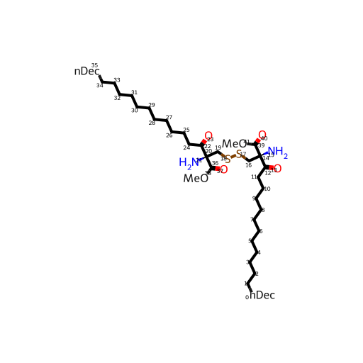 CCCCCCCCCCCCCCCCCCCCCC(=O)[C@](N)(CSSC[C@@](N)(C(=O)CCCCCCCCCCCCCCCCCCCCC)C(=O)OC)C(=O)OC